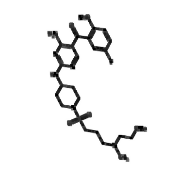 COCCN(C)CCCS(=O)(=O)N1CCC(Nc2ncc(C(=O)c3cc(F)ccc3OC)c(N)n2)CC1